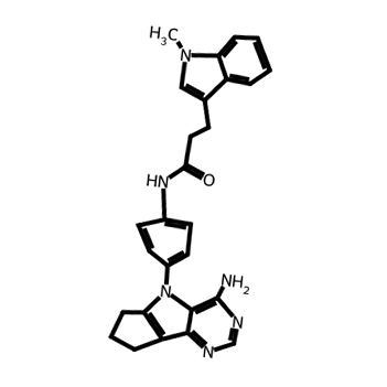 Cn1cc(CCC(=O)Nc2ccc(-n3c4c(c5ncnc(N)c53)CCC4)cc2)c2ccccc21